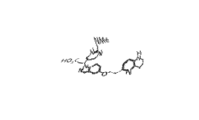 CNc1ncc(C(CC(=O)O)n2ncc3cc(OCCc4ccc5c(n4)CCCN5)ccc32)cn1